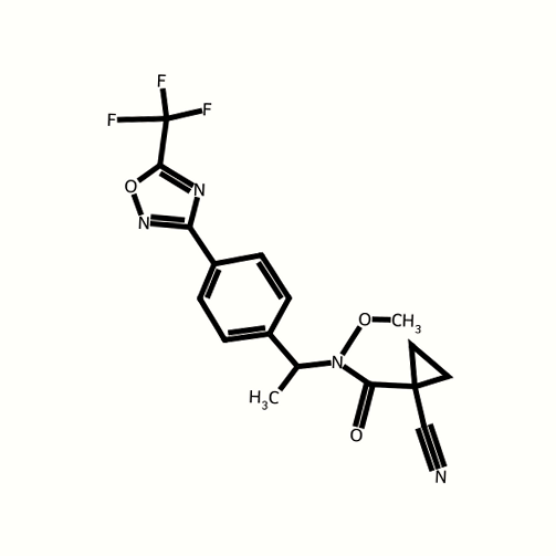 CON(C(=O)C1(C#N)CC1)C(C)c1ccc(-c2noc(C(F)(F)F)n2)cc1